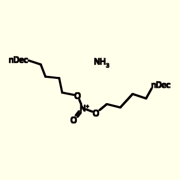 CCCCCCCCCCCCCCO[N+](=O)OCCCCCCCCCCCCCC.N